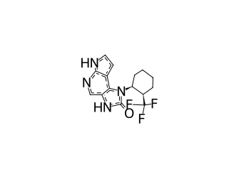 O=c1[nH]c2cnc3[nH]ccc3c2n1[C@H]1CCCC[C@H]1C(F)(F)F